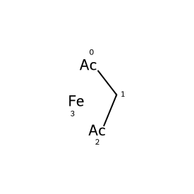 CC(=O)CC(C)=O.[Fe]